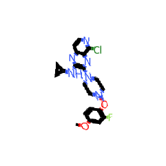 COc1ccc(ON2CCN(c3nc4c(Cl)nccc4nc3NC3CC3)CC2)c(F)c1